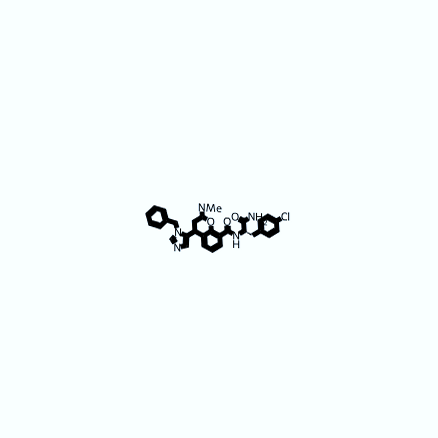 CNC1CC(c2cncn2Cc2ccccc2)c2cccc(C(=O)N[C@@H](Cc3ccc(Cl)cc3)C(N)=O)c2O1